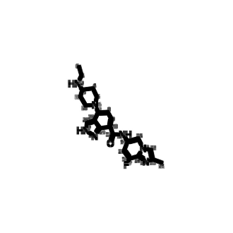 CCNC1CCN(c2ccc(C(=O)Nc3cc(F)c4nc(C)cn4c3)c3n[nH]cc23)CC1